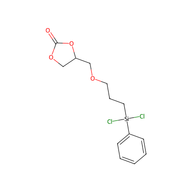 O=C1OCC(COCCC[Si](Cl)(Cl)c2ccccc2)O1